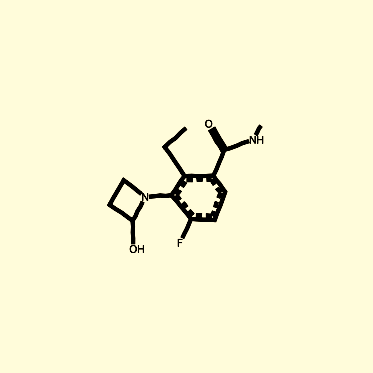 CCc1c(C(=O)NC)ccc(F)c1N1CCC1O